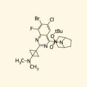 CN(C)C12CC1(c1nc(N3CC4CCC(C3)N4C(=O)OC(C)(C)C)c3cc(Cl)c(Br)c(F)c3n1)C2